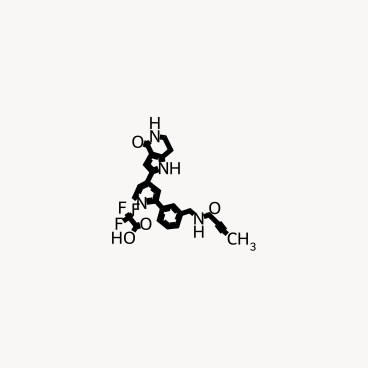 CC#CC(=O)NCc1cccc(-c2cc(-c3cc4c([nH]3)CCNC4=O)ccn2)c1.O=C(O)C(F)(F)F